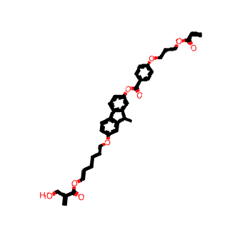 C=CC(=O)OCCCOc1ccc(C(=O)Oc2ccc3c(c2)C(C)c2cc(OCCCCCCOC(=O)C(=C)CO)ccc2-3)cc1